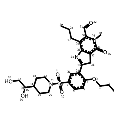 CCCOc1ccc(S(=O)(=O)N2CCC([C@@H](O)CO)CC2)cc1C1=Nc2c(CCC)c(C=O)n(C)c(=O)c2C1